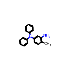 Cc1ccc(N(c2ccccc2)c2ccccc2)cc1N